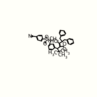 CN(c1cccc(C(C2=C(O)C(Cc3ccccc3)(Cc3ccccc3)OC2=O)C(C)(C)C)c1)S(=O)(=O)c1ccc(C#N)cc1